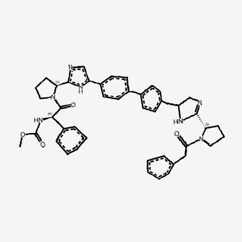 COC(=O)N[C@@H](C(=O)N1CCC[C@H]1c1ncc(-c2ccc(-c3ccc(C4CN=C([C@@H]5CCCN5C(=O)Cc5ccccc5)N4)cc3)cc2)[nH]1)c1ccccc1